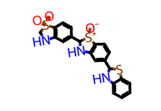 O=S1(=O)CNc2cc(C3Nc4cc(C5Nc6ccccc6S5)ccc4[S+]3[O-])ccc21